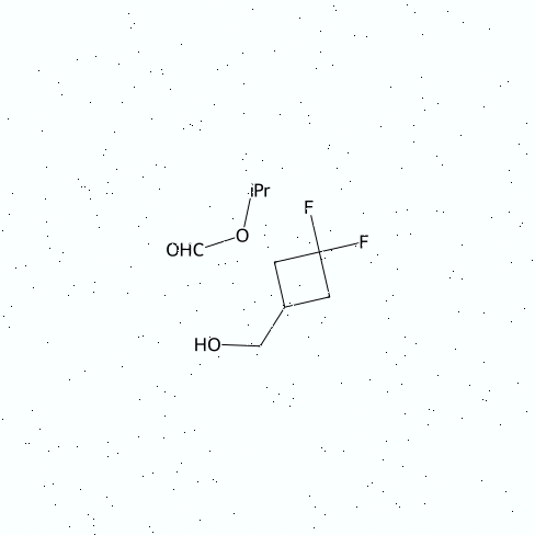 CC(C)OC=O.OCC1CC(F)(F)C1